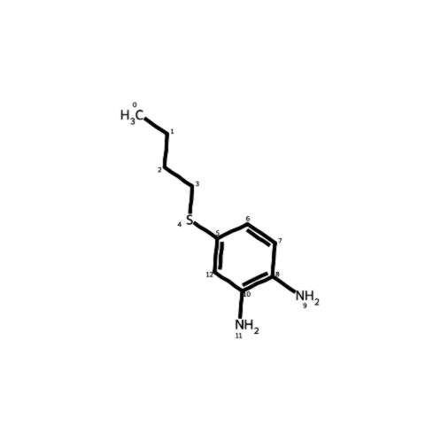 CCCCSc1ccc(N)c(N)c1